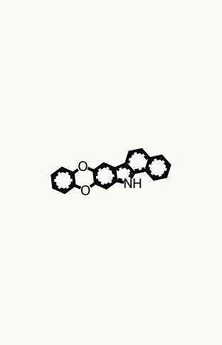 c1ccc2c(c1)Oc1cc3[nH]c4c5ccccc5ccc4c3cc1O2